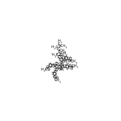 CCC(C)CC(C)CC(C)CC(C)C=C(C)C=C(CC(C)C(=O)OC(C(=O)OCc1ccc(OC(C)=O)cc1)C(C(=O)OCc1ccc(OC(C)=O)cc1)C(O)C(=O)OCc1ccc(OC(C)=O)cc1)C(=O)OCc1ccc(OC(C)=O)cc1